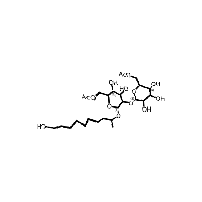 CC(=O)OCC1O[C@@H](OC2C(O)[C@H](O)C(COC(C)=O)O[C@@H]2OC(C)CCCCCCCCO)C(O)C(O)[C@@H]1O